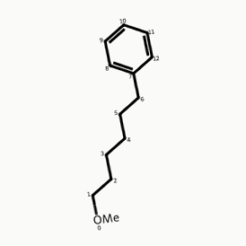 [CH2]OCCCCCCc1ccccc1